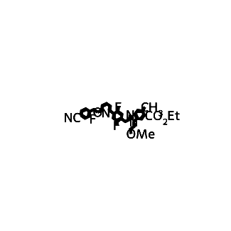 CCOC(=O)c1cc2c(cc1C)nc(Cc1cc(F)c(-c3cccc(OCc4ccc(C#N)cc4F)n3)cc1F)n2CCOC